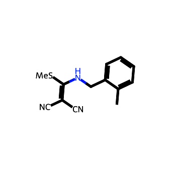 CSC(NCc1ccccc1C)=C(C#N)C#N